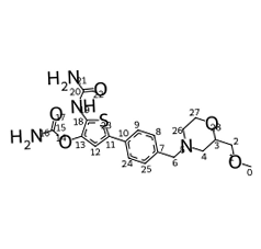 COCC1CN(Cc2ccc(-c3cc(OC(N)=O)c(NC(N)=O)s3)cc2)CCO1